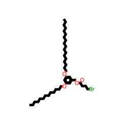 CCCCCCCCCCCCCCCCCCOc1cc(COC(=O)CCCBr)cc(OCCCCCCCCCCCCC)c1